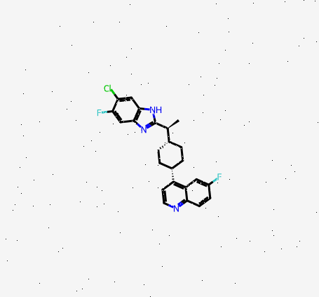 C[C@H](c1nc2cc(F)c(Cl)cc2[nH]1)[C@H]1CC[C@@H](c2ccnc3ccc(F)cc32)CC1